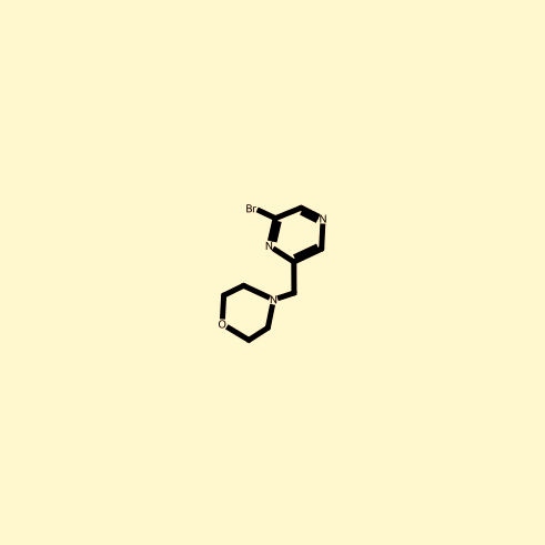 Brc1cncc(CN2CCOCC2)n1